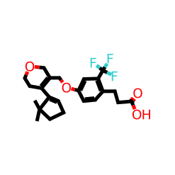 CC1(C)CCC=C1C1=C(COc2ccc(CCC(=O)O)c(C(F)(F)F)c2)COCC1